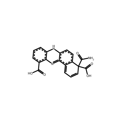 NC(=O)C1(C(=O)O)C=CC=c2c1ccc1c2=Nc2c(cccc2C(=O)O)N1